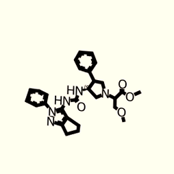 COCC(C(=O)OC)N1CC(c2ccccc2)[C@H](NC(=O)Nc2c3c(nn2-c2ccccc2)CCC3)C1